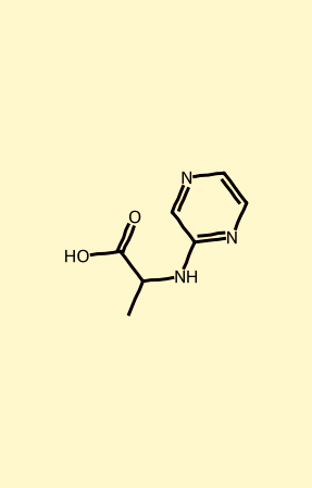 CC(Nc1cnccn1)C(=O)O